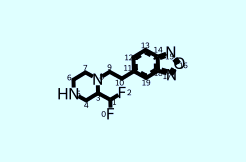 FC(F)C1CNCCN1CCc1ccc2nonc2c1